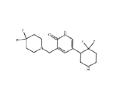 O=c1[nH]cc(C2CNCCC2(F)F)cc1CN1CCC(F)(F)CC1